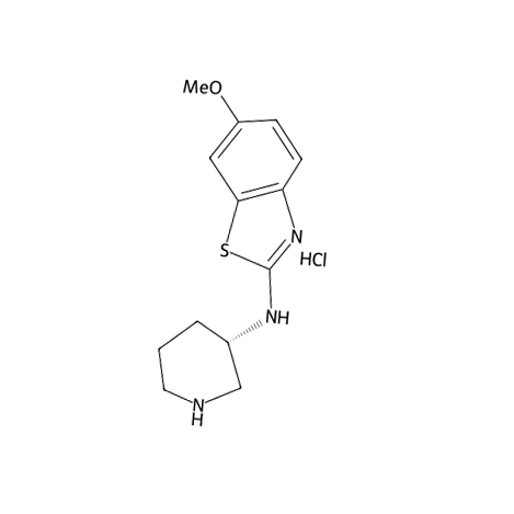 COc1ccc2nc(N[C@H]3CCCNC3)sc2c1.Cl